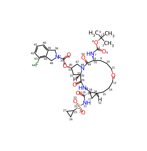 CC(C)(C)OC(=O)N[C@H]1CCCOCCC[C@@H]2C[C@@]2(C(=O)NS(=O)(=O)C2CC2)NC(=O)[C@@H]2C[C@@H](OC(=O)N3Cc4cccc(F)c4C3)CN2C1=O